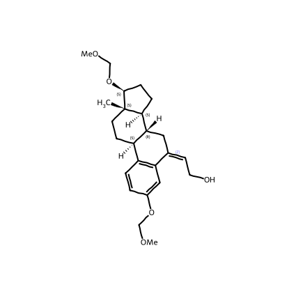 COCOc1ccc2c(c1)/C(=C\CO)C[C@@H]1[C@@H]2CC[C@]2(C)[C@@H](OCOC)CC[C@@H]12